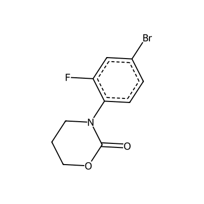 O=C1OCCCN1c1ccc(Br)cc1F